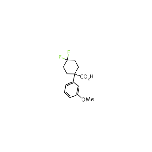 COc1cccc(C2(C(=O)O)CCC(F)(F)CC2)c1